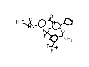 CCC(=O)N[C@H]1CC[C@H](C(=O)N2CC[C@H](O[C@H](C)c3cc(C(F)(F)F)cc(C(F)(F)F)c3)[C@H](c3ccccc3)C2)CC1